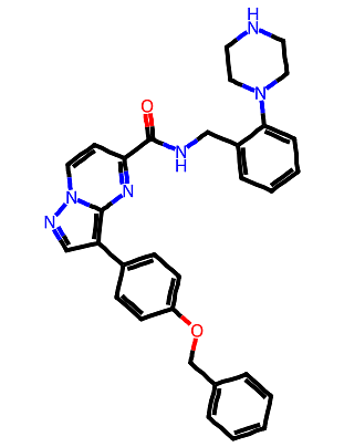 O=C(NCc1ccccc1N1CCNCC1)c1ccn2ncc(-c3ccc(OCc4ccccc4)cc3)c2n1